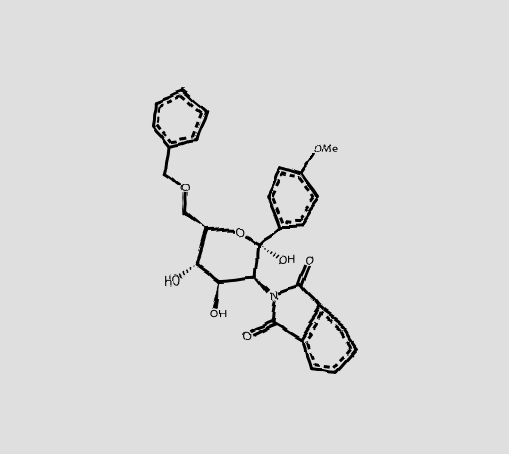 COc1ccc([C@]2(O)O[C@H](COCc3ccccc3)[C@@H](O)[C@H](O)[C@@H]2N2C(=O)c3ccccc3C2=O)cc1